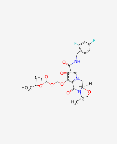 CC(OC(=O)OCOc1c2n(cc(C(=O)NCc3ccc(F)cc3F)c1=O)C[C@H]1OC[C@H](C)N1C2=O)C(=O)O